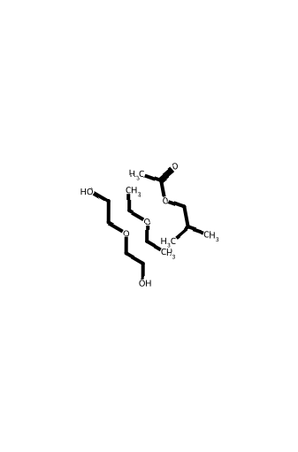 CC(=O)OCC(C)C.CCOCC.OCCOCCO